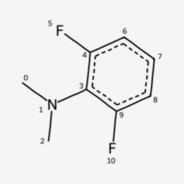 CN(C)c1c(F)cccc1F